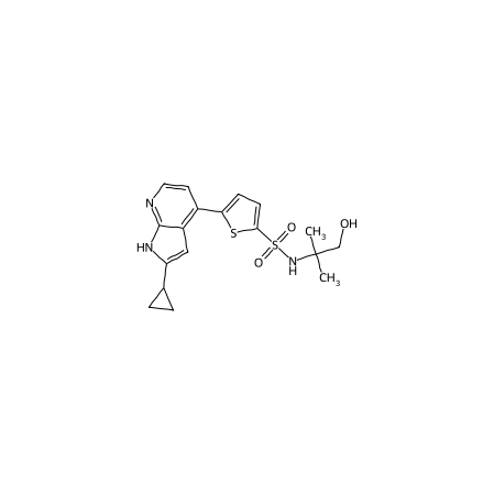 CC(C)(CO)NS(=O)(=O)c1ccc(-c2ccnc3[nH]c(C4CC4)cc23)s1